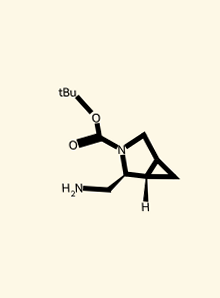 CC(C)(C)OC(=O)N1CC2C[C@@H]2[C@H]1CN